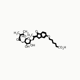 C/C(C[C@@H]1OC[C@H](C[C@@H]2O[C@H]2[C@@H](C)[C@H](C)O)[C@@H](O)[C@H]1O)=C1/Cc2cc(OCCCCCC(=O)O)ccc2C1=O